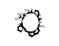 CC(C)[C@@H]1OC(=O)C2(/C=C/c3ccc4ccc(nc4c3)[C@@H](C)NC(=O)[C@@H]3CCCN(N3)C(=O)[C@H](C)NC1=O)CCCCO2